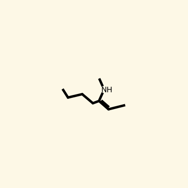 CC=C(CCCC)NC